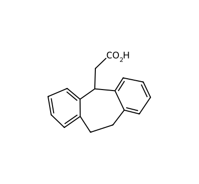 O=C(O)CC1c2ccccc2CCc2ccccc21